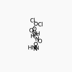 O=C(OCc1cc(Cl)cc(Cl)c1)N1C[C@H]2CCN(C(=O)c3ccc4[nH]nnc4c3)CC[C@H]2C1